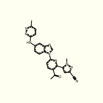 CC(=O)c1ccc(-n2cnc3cc(Nc4ccc(C)nn4)ccc32)nc1-c1cc(C#N)nn1C